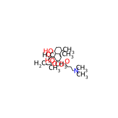 C=C[C@@]1(C)CC(=O)[C@@]2(O)[C@](C)(O1)[C@@H](OC(=O)CCCN(C)C)C=C1C(C)(C)CC[C@H](O)[C@@]12C